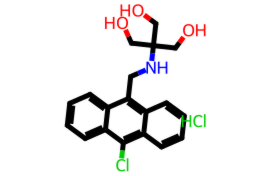 Cl.OCC(CO)(CO)NCc1c2ccccc2c(Cl)c2ccccc12